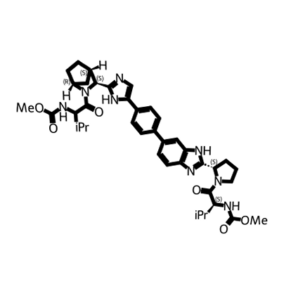 COC(=O)NC(C(=O)N1[C@@H]2CC[C@@H](C2)[C@H]1c1ncc(-c2ccc(-c3ccc4nc([C@@H]5CCCN5C(=O)[C@@H](NC(=O)OC)C(C)C)[nH]c4c3)cc2)[nH]1)C(C)C